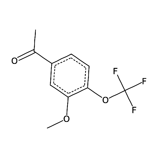 COc1cc(C(C)=O)ccc1OC(F)(F)F